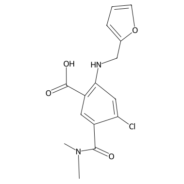 CN(C)C(=O)c1cc(C(=O)O)c(NCc2ccco2)cc1Cl